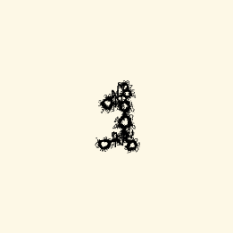 c1ccc(-c2nc(-c3ccccc3)nc(-c3ccc(-c4ccc5c6ccc7cccnc7c6c6nc7ccccc7n6c5c4)cc3)n2)cc1